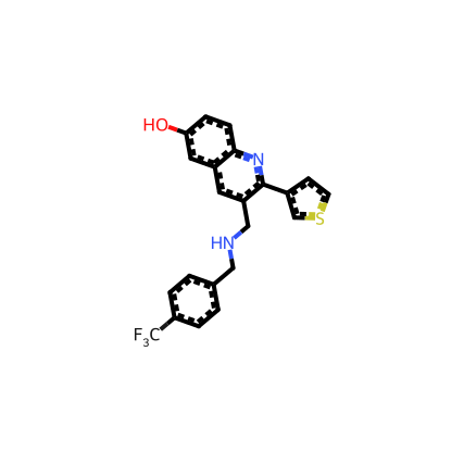 Oc1ccc2nc(-c3ccsc3)c(CNCc3ccc(C(F)(F)F)cc3)cc2c1